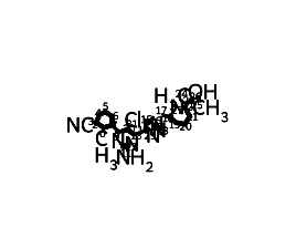 Cc1c(C#N)cccc1-c1nc(N)nc(-c2cn(Cc3cccc(C(C)(C)O)n3)nn2)c1Cl